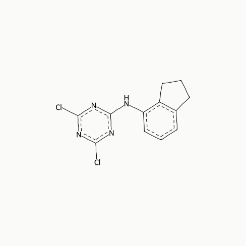 Clc1nc(Cl)nc(Nc2cccc3c2CCC3)n1